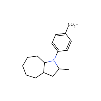 CC1CC2CCCCCC2N1c1ccc(C(=O)O)cc1